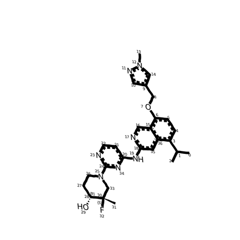 CC(C)c1ccc(OCc2cnn(C)c2)c2cnc(Nc3ccnc(N4CC[C@@H](O)[C@@](C)(F)C4)n3)cc12